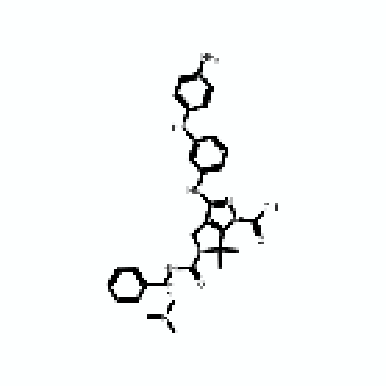 CN(C)C[C@@H](NC(=O)N1Cc2c(Nc3cccc(Nc4ccc(N)cc4)c3)nn(C(=O)O)c2C1(C)C)c1ccccc1